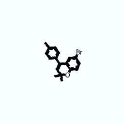 Cc1ccc(C2=CC(C)(C)Oc3ccc(Br)cc32)cc1